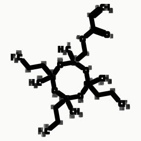 C=CC(=O)OC[Si]1(C)O[Si](C)(CCC(F)(F)F)O[Si](C)(CCC(F)(F)F)O[Si](C)(CCC(F)(F)F)O1